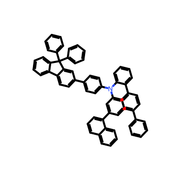 c1ccc(-c2ccc(-c3ccccc3N(c3ccc(-c4ccc5c(c4)C(c4ccccc4)(c4ccccc4)c4ccccc4-5)cc3)c3cccc(-c4cccc5ccccc45)c3)cc2)cc1